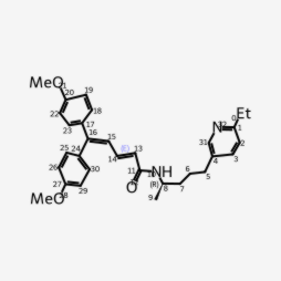 CCc1ccc(CCC[C@@H](C)NC(=O)/C=C/C=C(c2ccc(OC)cc2)c2ccc(OC)cc2)cn1